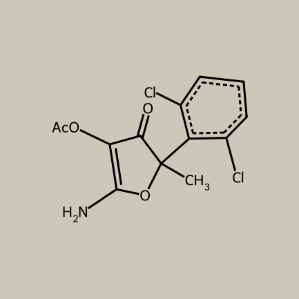 CC(=O)OC1=C(N)OC(C)(c2c(Cl)cccc2Cl)C1=O